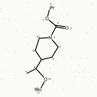 CC(C)OC(=O)N1CCC(C(C)OC(C)(C)C)CC1